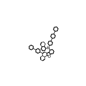 C1=CC2C(c3ccc(-c4ccccc4)cc3)=Cc3c(oc4cccc(N(c5ccc(-c6ccc(-c7ccccc7)cc6)cc5)c5cccc6c5CCC=C6)c34)C2C=C1